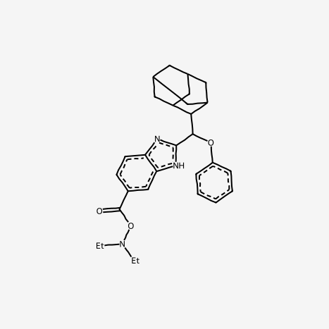 CCN(CC)OC(=O)c1ccc2nc(C(Oc3ccccc3)C3C4CC5CC(C4)CC3C5)[nH]c2c1